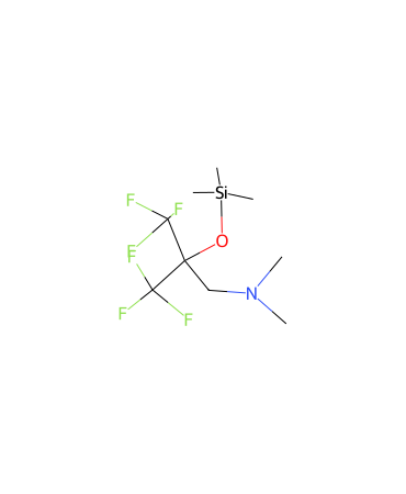 CN(C)CC(O[Si](C)(C)C)(C(F)(F)F)C(F)(F)F